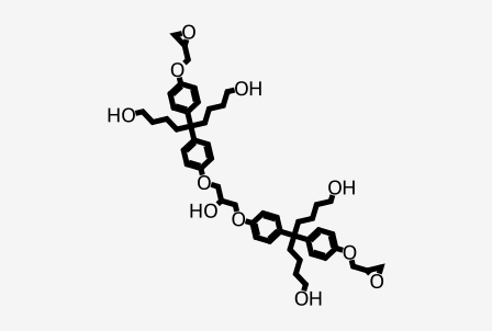 OCCCCC(CCCCO)(c1ccc(OCC(O)COc2ccc(C(CCCCO)(CCCCO)c3ccc(OCC4CO4)cc3)cc2)cc1)c1ccc(OCC2CO2)cc1